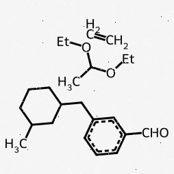 C=C.CC1CCCC(Cc2cccc(C=O)c2)C1.CCOC(C)OCC